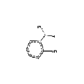 CCCc1ccccc1[C@@H](I)C(C)C